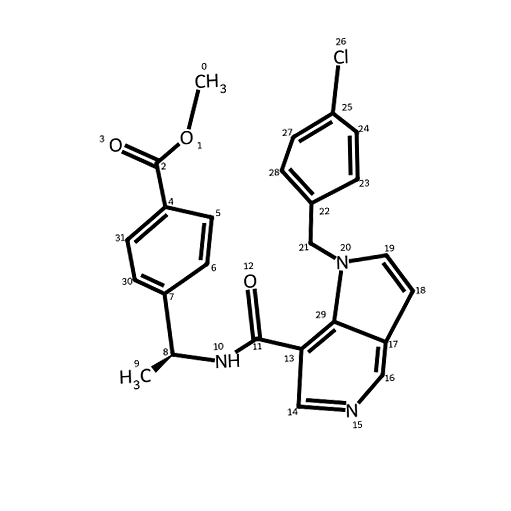 COC(=O)c1ccc([C@H](C)NC(=O)c2cncc3ccn(Cc4ccc(Cl)cc4)c23)cc1